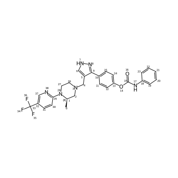 C[C@@H]1CN(Cc2c[nH]nc2-c2ccc(OC(=O)Nc3ccccc3)cc2)CCN1c1ccc(C(F)(F)F)cn1